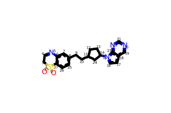 O=S1(=O)CC=Nc2cc(CCC3CCC(n4ccc5cncnc54)C3)ccc21